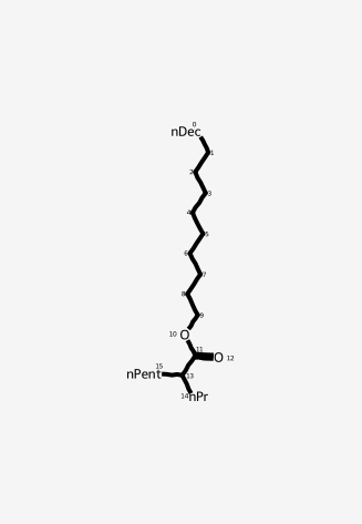 CCCCCCCCCCCCCCCCCCCOC(=O)C(CCC)CCCCC